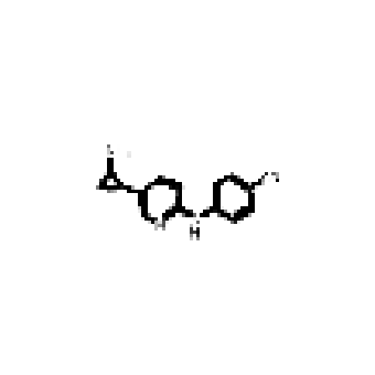 N#Cc1ccc(Nc2ccc(C3CC3N)cn2)cc1